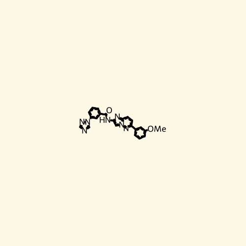 COc1cccc(-c2ccc3nc(NC(=O)c4cccc(-n5cncn5)c4)cn3n2)c1